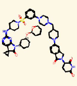 O=C1CCC(N2Cc3cc(N4CCC(CN5CCN(c6cccc(S(=O)(=O)N7CCC(Nc8ncc9c(n8)N([C@@H]8CCC[C@@H](OC%10CCCCO%10)C8)C(=O)C98CC8)CC7)c6)CC5)CC4)ccc3C2=O)C(=O)N1